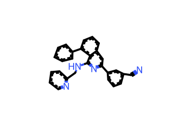 N#Cc1cccc(-c2cc3cccc(-c4ccccc4)c3c(NCc3ccccn3)n2)c1